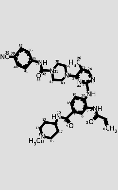 C=CC(=O)Nc1cc(C(=O)NC2CCN(C)CC2)ccc1Nc1ncc(C)c(N2CCN(C(=O)Nc3ccc(C#N)cc3)CC2)n1